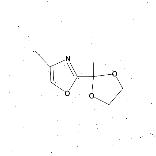 [CH2]c1coc(C2(C)OCCO2)n1